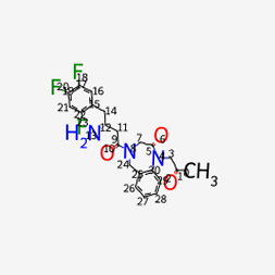 CC(=O)CN1C(=O)CN(C(=O)C[C@H](N)Cc2cc(F)c(F)cc2F)Cc2ccccc21